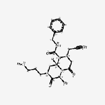 C#CCN1CC(=O)N2[C@@H](C(C)C)C(=O)N(CCCOC)C[C@@H]2N1C(=O)NCc1ccccc1